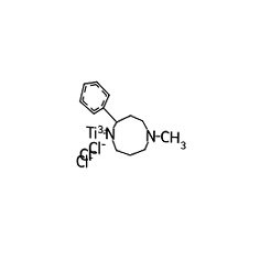 CN1CCC[N]([Ti+3])C(c2ccccc2)CC1.[Cl-].[Cl-].[Cl-]